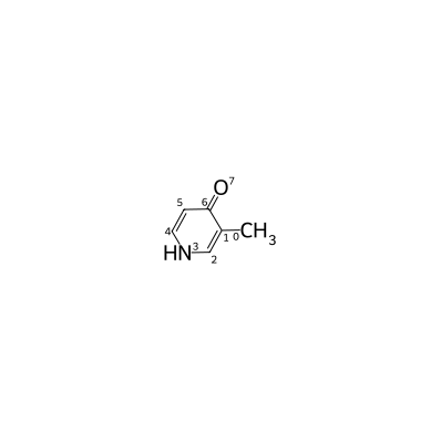 Cc1c[nH]ccc1=O